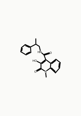 CC(CNC(=O)c1c(O)c(=O)n(C)c2ccccc12)c1ccccc1